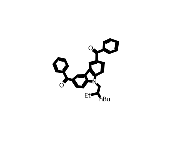 CCCCC(CC)Cn1c2ccc(C(=O)c3ccccc3)cc2c2cc(C(=O)c3ccccc3)ccc21